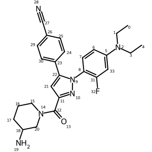 CCN(CC)c1ccc(-n2nc(C(=O)N3CCCC(N)C3)cc2-c2ccc(C#N)cc2)c(F)c1